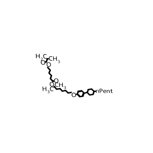 C=C(C)C(=O)OCCCCCC(=O)OC(C)(C)CCCCCCOc1ccc(C2CCC(CCCCC)CC2)cc1